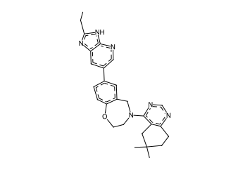 CCc1nc2cc(-c3ccc4c(c3)CN(c3ncnc5c3CC(C)(C)CC5)CCO4)cnc2[nH]1